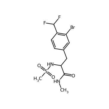 CNC(=O)C(Cc1ccc([C](F)F)c(Br)c1)NS(C)(=O)=O